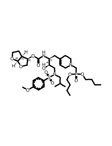 CCCCOP(=O)(CN1CC=C(C[C@H](NC(=O)O[C@H]2CO[C@H]3OCC[C@H]32)[C@H](O)CN(CC(C)C)S(=O)(=O)c2ccc(OC)cc2)CC1)OCCCC